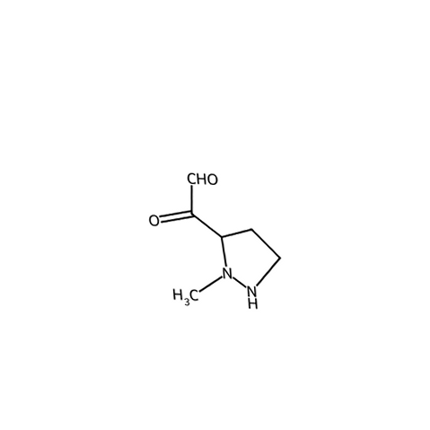 CN1NCCC1C(=O)C=O